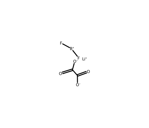 F[B+]F.O=C([O-])C(=O)[O-].[Li+]